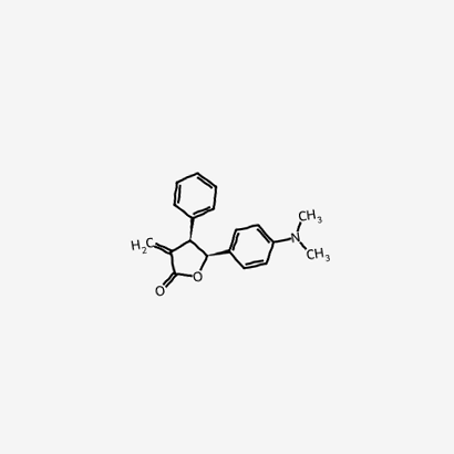 C=C1C(=O)O[C@H](c2ccc(N(C)C)cc2)[C@@H]1c1ccccc1